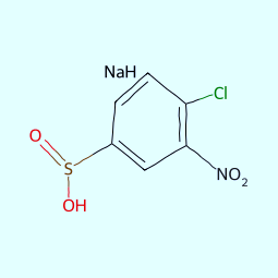 O=[N+]([O-])c1cc(S(=O)O)ccc1Cl.[NaH]